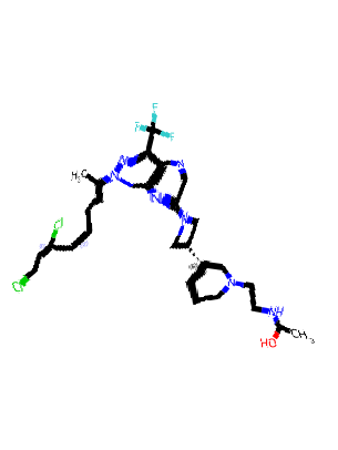 CC(O)NCCN1CCC[C@H](C2CN(c3cnc4c(C(F)(F)F)nn(C(C)CC/C=C\C(Cl)=C/CCl)c4n3)C2)C1